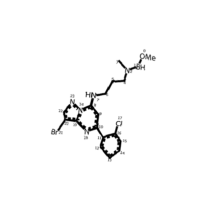 COBN(C)CCCNc1cc(-c2ccccc2Cl)nc2c(Br)cnn12